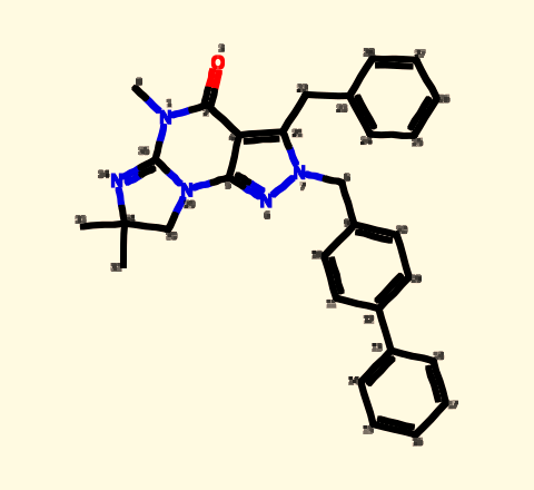 CN1C(=O)c2c(nn(Cc3ccc(-c4ccccc4)cc3)c2Cc2ccccc2)N2CC(C)(C)N=C12